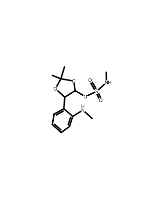 CNc1ccccc1C1OC(C)(C)OC1OS(=O)(=O)NC